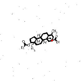 CCC(=O)OC[C@]12CCCC(C)=C1CC[C@@H]1[C@@H]2CC[C@]2(C)[C@@H](OC(=O)CC)CC[C@@H]12